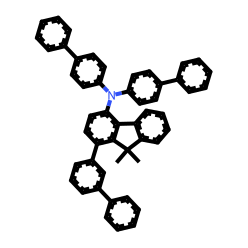 CC1(C)c2ccccc2-c2c(N(c3ccc(-c4ccccc4)cc3)c3ccc(-c4ccccc4)cc3)ccc(-c3cccc(-c4ccccc4)c3)c21